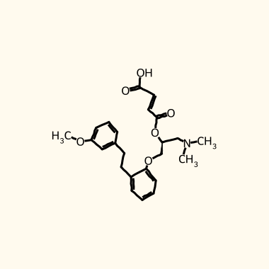 COc1cccc(CCc2ccccc2OC[C@H](CN(C)C)OC(=O)/C=C/C(=O)O)c1